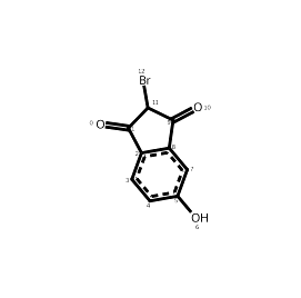 O=C1c2ccc(O)cc2C(=O)C1Br